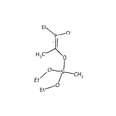 CCO[Si](C)(OCC)O/C(C)=[P+](\[O-])CC